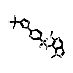 COc1ncc2cnn(C)c2c1NS(=O)(=O)c1ccc(-n2cc(C(F)(F)F)cn2)nc1